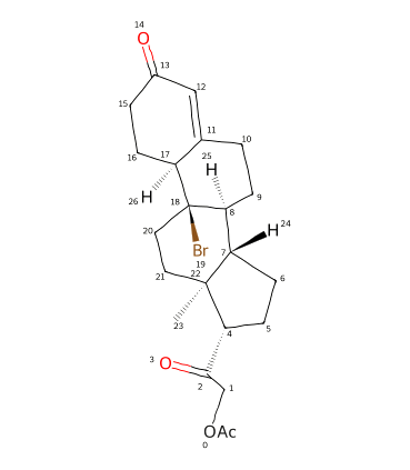 CC(=O)OCC(=O)[C@H]1CC[C@H]2[C@@H]3CCC4=CC(=O)CC[C@@H]4[C@@]3(Br)CC[C@]12C